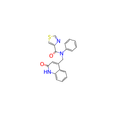 O=C(c1cscn1)N(Cc1cc(=O)[nH]c2ccccc12)c1ccccc1